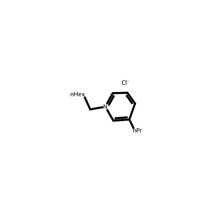 CCCCCCC[n+]1cccc(CCC)c1.[Cl-]